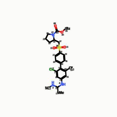 CSC(NC#N)Nc1cc(Cl)c(-c2ccc(S(=O)(=O)CC3CCCN3C(=O)OC(C)(C)C)cc2)c(C(F)(F)F)c1